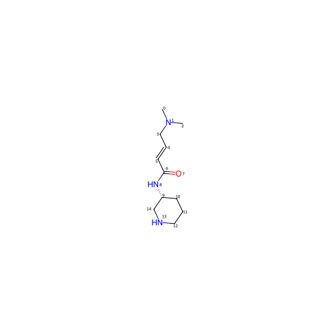 CN(C)C/C=C/C(=O)N[C@@H]1CCCNC1